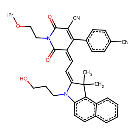 CC(C)OCCN1C(=O)C(C#N)=C(c2ccc(C#N)cc2)/C(=C/C=C2/N(CCCO)c3ccc4ccccc4c3C2(C)C)C1=O